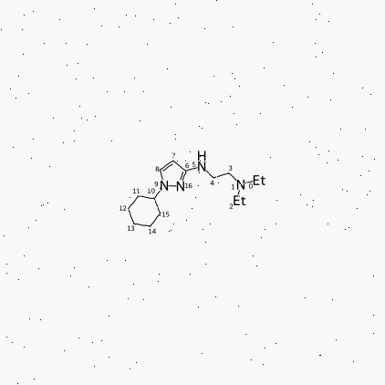 CCN(CC)CCNc1ccn(C2CCCCC2)n1